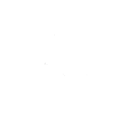 CCOC(C=O)Cc1ccc(NCCCN2CC(C)Oc3cc(F)ccc32)cc1